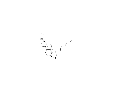 CCCCCCC(=O)OC1CC(=O)C=C2CC[C@@H]3[C@H]([C@@H](O)C[C@@]4(C)[C@H]3CC[C@]4(O)C(=O)CO)[C@]21C